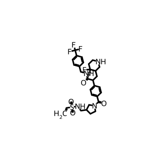 C=CS(=O)(=O)NCC1CCN(C(=O)c2ccc(C(CC3CNCCC3(F)F)C(=O)NCc3ccc(C(F)(F)F)cc3)cc2)C1